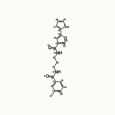 Cc1cc(C(=O)NCCCNC(=O)c2cc(-c3cccs3)on2)ccn1